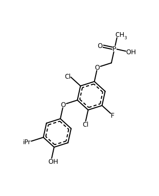 CC(C)c1cc(Oc2c(Cl)c(F)cc(OCP(C)(=O)O)c2Cl)ccc1O